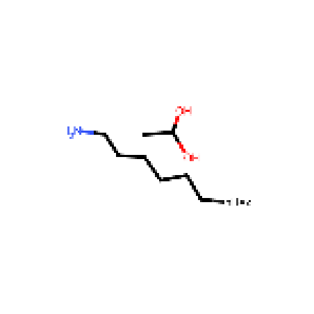 CC(O)O.CCCCCCCCCCCCN